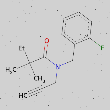 C#CCN(Cc1ccccc1F)C(=O)C(C)(C)CC